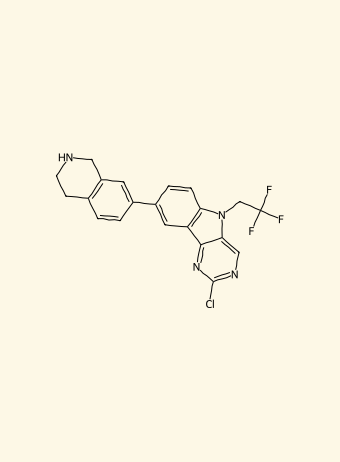 FC(F)(F)Cn1c2ccc(-c3ccc4c(c3)CNCC4)cc2c2nc(Cl)ncc21